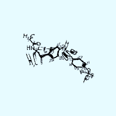 CCC(=O)NC(C)(C)Cc1ccc(NS(=O)(=O)c2ccc(OC(F)(F)F)cc2)cc1